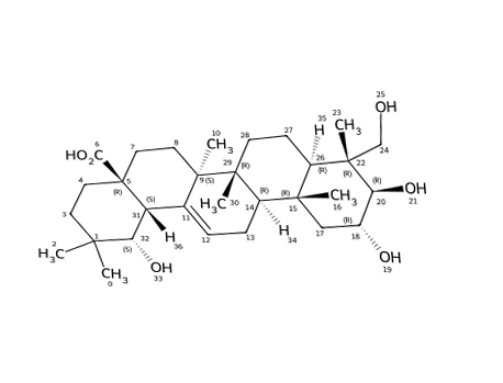 CC1(C)CC[C@]2(C(=O)O)CC[C@]3(C)C(=CC[C@@H]4[C@@]5(C)C[C@@H](O)[C@H](O)[C@@](C)(CO)[C@@H]5CC[C@]43C)[C@@H]2[C@@H]1O